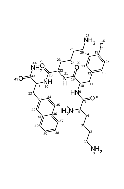 NCCCCC(N)C(=O)NC(Cc1ccc(Cl)cc1)C(=O)NC(CCCCN)C(=O)NC(Cc1ccc2ccccc2c1)C(N)=O